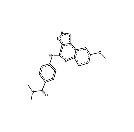 COc1ccc2nc(Nc3ccc(C(=O)N(C)C)cc3)c3n[nH]cc3c2c1